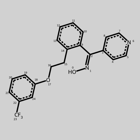 ON=C(c1ccncc1)c1ccccc1CCOc1cccc(C(F)(F)F)c1